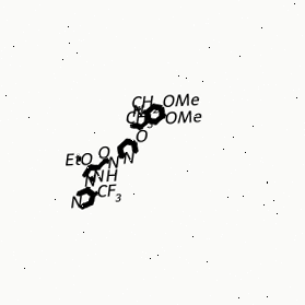 C=Nc1cc(OC)c(OC)cc1/C(=C\C)Oc1ccc(NC(=O)c2nn(-c3cnccc3C(F)(F)F)cc2OCC)nc1